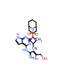 CN(c1nc(Nc2cc(CO)[nH]n2)c2cc[nH]c2n1)C1CC2CCCC(C1)N2S(=O)(=O)N1CC(C#N)C1